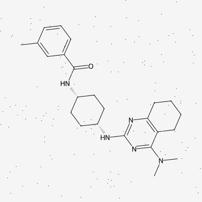 Cc1cccc(C(=O)N[C@H]2CC[C@@H](Nc3nc4c(c(N(C)C)n3)CCCC4)CC2)c1